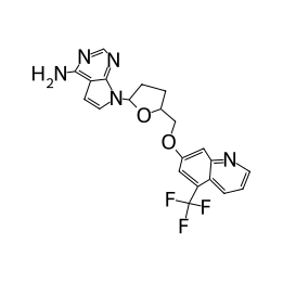 Nc1ncnc2c1ccn2C1CCC(COc2cc(C(F)(F)F)c3cccnc3c2)O1